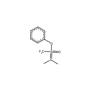 CS(C)=S(=O)(Oc1ccccc1)C(F)(F)F